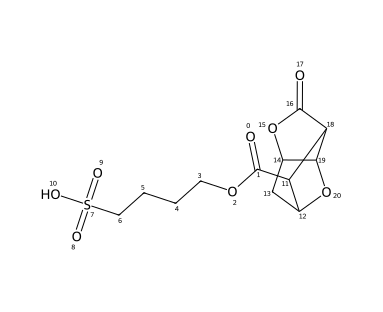 O=C(OCCCCS(=O)(=O)O)C1C2CC3OC(=O)C1C3O2